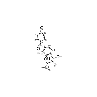 C=C(CN(C)C)C(O)c1ncc2c(c1O)COC2c1ccc(Cl)cc1